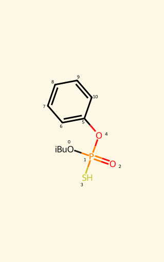 CC(C)COP(=O)(S)Oc1ccccc1